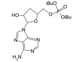 CC(C)COP(=O)(OCC(C)C)OCC1CC(O)C(n2cnc3c(N)ncnc32)O1